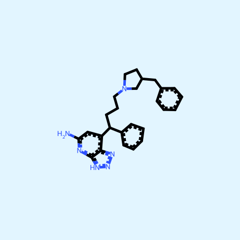 Nc1cc(C(CCCN2CCC(Cc3ccccc3)C2)c2ccccc2)c2nn[nH]c2n1